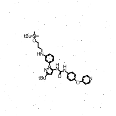 CC(C)(C)c1cc(NC(=O)Nc2ccc(Oc3ccncc3)cc2)n(-c2cccc(NCCCO[Si](C)(C)C(C)(C)C)c2)n1